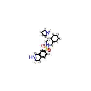 CN1CCC[C@H]1CCN(CC1CCCCC1)S(=O)(=O)c1ccc2c(c1)CNCC2